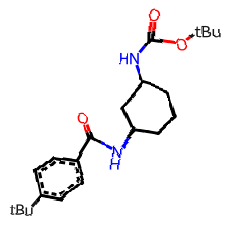 CC(C)(C)OC(=O)NC1CCCC(NC(=O)c2ccc(C(C)(C)C)cc2)C1